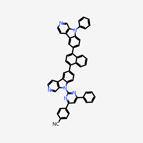 N#Cc1ccc(-c2cc(-c3ccccc3)nc(-n3c4ccc(-c5ccc(-c6ccc7c(c6)c6ccncc6n7-c6ccccc6)c6ccccc56)cc4c4ccncc43)n2)cc1